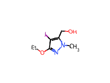 CCOc1nn(C)c(CO)c1I